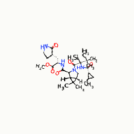 COC(=O)[C@H](C[C@@H]1CCNC1=O)NC(=O)[C@@H]1[C@@H]2[C@H](CN1C(=O)C([SiH3])(NC(=O)[C@@H]1C[C@H]1C)C(C)(C)C)C2(C)C